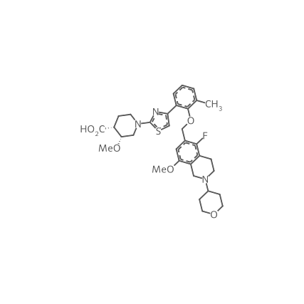 COc1cc(COc2c(C)cccc2-c2csc(N3CC[C@@H](C(=O)O)[C@@H](OC)C3)n2)c(F)c2c1CN(C1CCOCC1)CC2